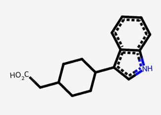 O=C(O)CC1CCC(c2c[nH]c3ccccc23)CC1